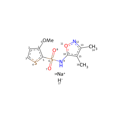 COc1ccsc1S(=O)(=O)Nc1onc(C)c1C.[H-].[Na+]